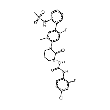 Cc1cc(-c2ccccc2NS(C)(=O)=O)c(F)cc1N1CCC[C@@H](NC(=O)Nc2ccc(Cl)cc2F)C1=O